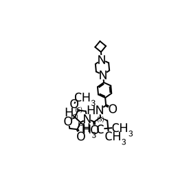 CO[C@H]1CN(C(=O)[C@H](CC(C)(C)C)NC(=O)c2ccc(N3CCN(C4CCC4)CC3)cc2)[C@@H]2C(=O)CO[C@H]12